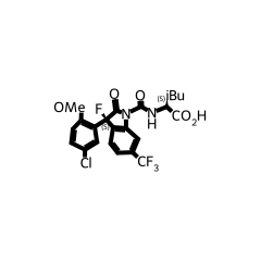 CC[C@H](C)C(NC(=O)N1C(=O)[C@@](F)(c2cc(Cl)ccc2OC)c2ccc(C(F)(F)F)cc21)C(=O)O